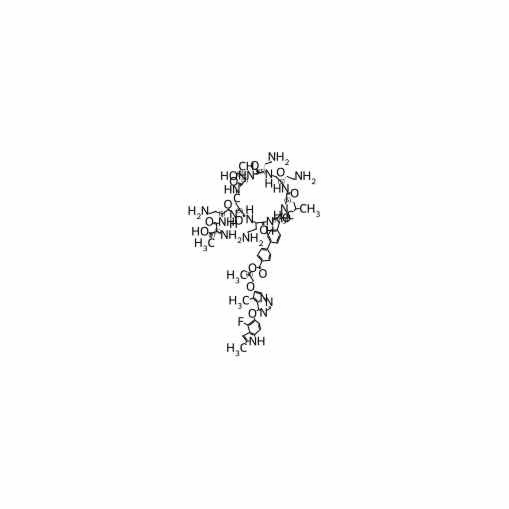 Cc1cc2c(F)c(Oc3ncnn4cc(OC[C@@H](C)OC(=O)c5ccc(-c6ccc(C[C@H]7NC(=O)C(CCN)NC(=O)[C@@H](NC(=O)[C@H](CCN)NC(=O)[C@@H](N)[C@@H](C)O)CCNC(=O)[C@H]([C@@H](C)O)NC(=O)[C@H](CCN)NC(=O)[C@H](CCN)NC(=O)[C@H](CC(C)C)NC7=O)cc6)cc5)c(C)c34)ccc2[nH]1